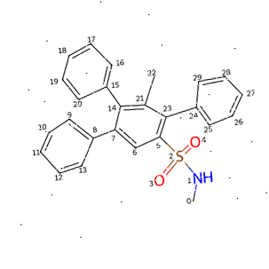 CNS(=O)(=O)c1cc(-c2ccccc2)c(-c2ccccc2)c(C)c1-c1ccccc1